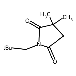 CC(C)(C)CN1C(=O)CC(C)(C)C1=O